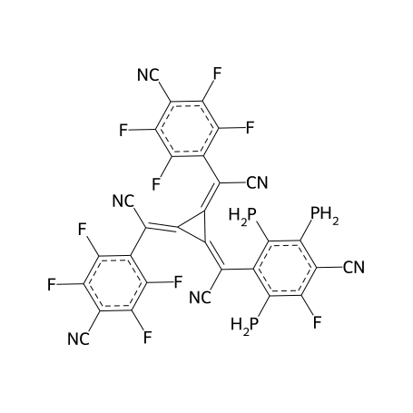 N#CC(=C1C(=C(/C#N)c2c(F)c(F)c(C#N)c(F)c2F)/C1=C(/C#N)c1c(P)c(F)c(C#N)c(P)c1P)c1c(F)c(F)c(C#N)c(F)c1F